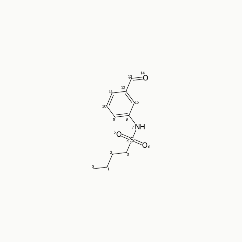 CCCCS(=O)(=O)Nc1cccc([C]=O)c1